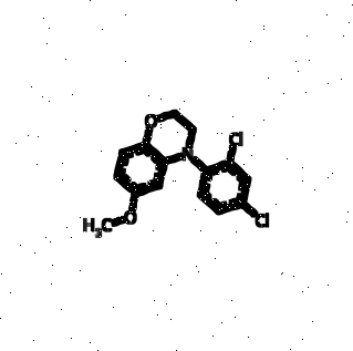 COc1ccc2c(c1)N(c1ccc(Cl)cc1Cl)CCO2